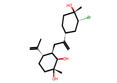 C=C(C[C@@H]1[C@@H](C(=C)C)CC[C@@](C)(O)[C@@H]1O)[C@@H]1CC[C@](C)(O)[C@H](Br)C1